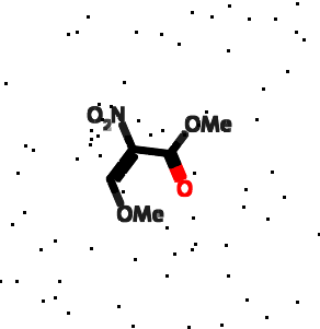 COC=C(C(=O)OC)[N+](=O)[O-]